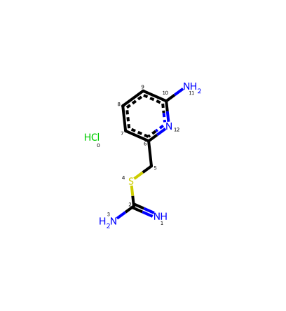 Cl.N=C(N)SCc1cccc(N)n1